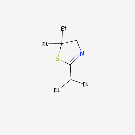 CCC(CC)C1=NCC(CC)(CC)S1